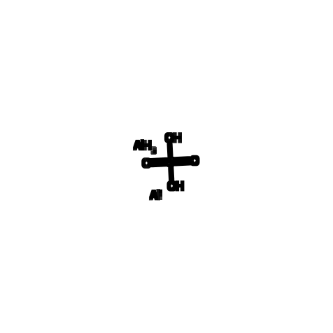 O=S(=O)(O)O.[AlH3].[Al]